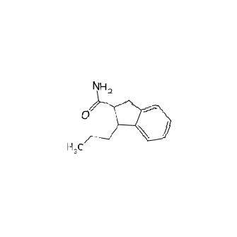 CCCC1c2ccccc2CC1C(N)=O